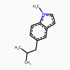 CC(C)Cc1ccc2c(ccn2C)c1